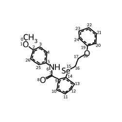 COc1ccc(NC(=O)c2ccccc2[Se]CCOc2ccccc2)cc1